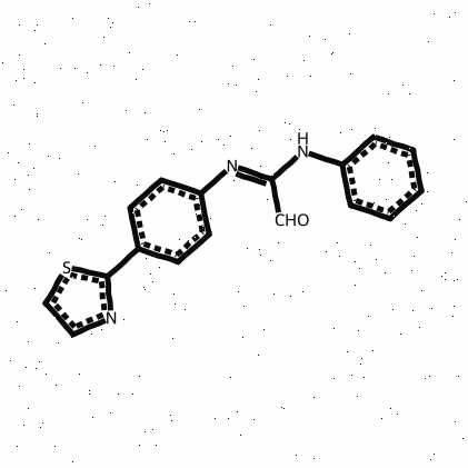 O=C/C(=N\c1ccc(-c2nccs2)cc1)Nc1ccccc1